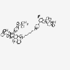 C=C(Cl)C(=O)N1CCN(c2nc(OCC3CCCN3C)nc3c(F)c(-c4c(F)cccc4OCCCCCCCN4CCC(c5cc(F)cc6c5CN(C5CCC(=O)NC5=O)C6=O)CC4)c(Cl)cc23)CC1